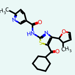 Cc1ccc(C(=O)Nc2nc(C3OC=CC3C)c(C(=O)C3CCCCC3)s2)cn1